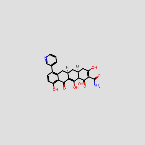 NC(=O)C1=C(O)C[C@@H]2C[C@@H]3Cc4c(-c5cccnc5)ccc(O)c4C(=O)C3=C(O)[C@]2(O)C1=O